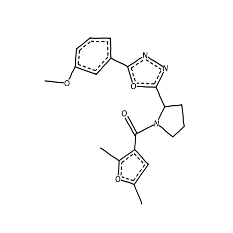 COc1cccc(-c2nnc(C3CCCN3C(=O)c3cc(C)oc3C)o2)c1